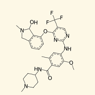 COc1cc(C(=O)NC2CCN(C)CC2)c(C)cc1Nc1ncc(C(F)(F)F)c(Oc2cccc3c2C(O)N(C)C3)n1